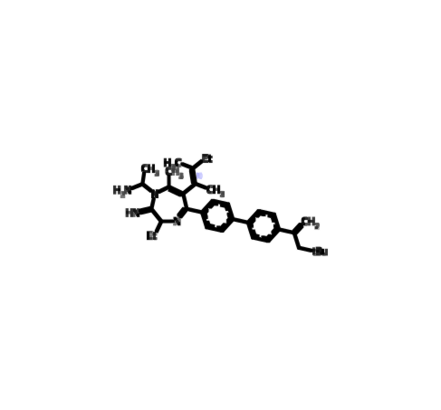 C=C(CC(C)(C)C)c1ccc(-c2ccc(C3=NC(CC)C(=N)N(C(C)N)C(C)=C3/C(C)=C(\C)CC)cc2)cc1